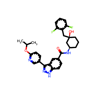 CC(C)Oc1ccc(-c2n[nH]c3ccc(C(=O)N[C@@H]4CCC[C@@](O)(Cc5c(F)cccc5F)C4)cc23)cn1